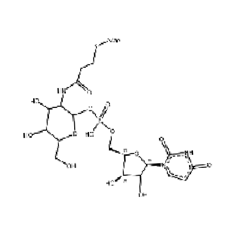 CSSCCC(=O)NC1C(OP(=O)(O)OC[C@H]2O[C@@H](n3ccc(=O)[nH]c3=O)C(O)[C@H]2O)OC(CO)C(O)C1O